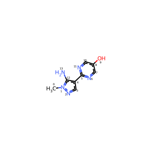 Cn1ncc(-c2ncc(O)cn2)c1N